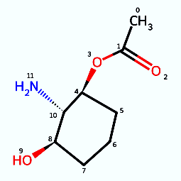 CC(=O)O[C@H]1CCC[C@@H](O)[C@@H]1N